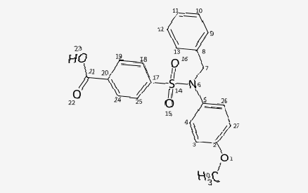 COc1ccc(N(Cc2ccccc2)S(=O)(=O)c2ccc(C(=O)O)cc2)cc1